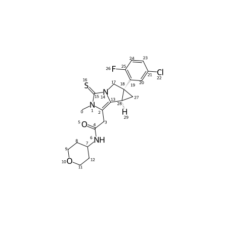 Cn1c(CC(=O)NC2CCOCC2)c2n(c1=S)C[C@@]1(c3cc(Cl)ccc3F)C[C@@H]21